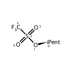 CCC[C@H](C)OS(=O)(=O)C(F)(F)F